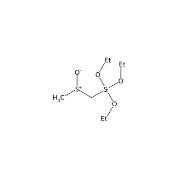 CCO[Si](C[S+](C)[O-])(OCC)OCC